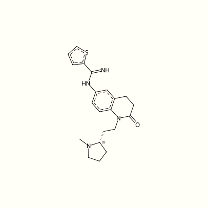 CN1CCC[C@H]1CCN1C(=O)CCc2cc(NC(=N)c3cccs3)ccc21